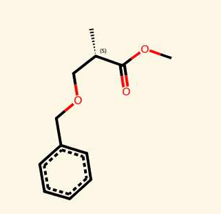 COC(=O)[C@@H](C)COCc1ccccc1